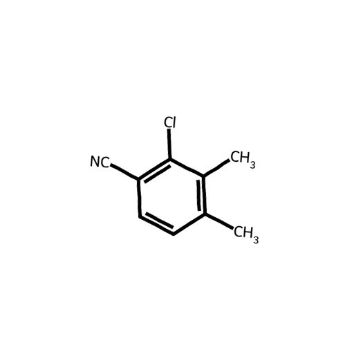 Cc1ccc(C#N)c(Cl)c1C